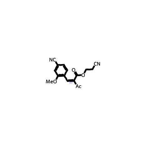 COc1cc(C#N)ccc1/C=C(/C(C)=O)C(=O)OCCC#N